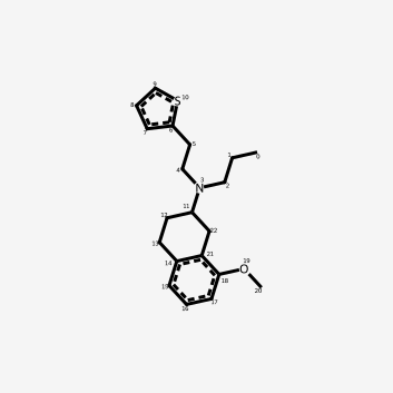 CCCN(CCc1cccs1)C1CCc2cccc(OC)c2C1